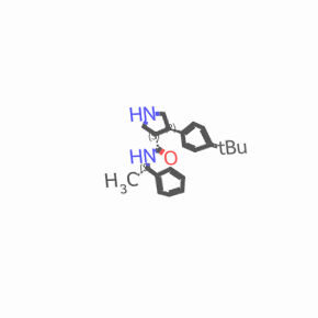 C[C@H](NC(=O)[C@@H]1CNC[C@H]1c1ccc(C(C)(C)C)cc1)c1ccccc1